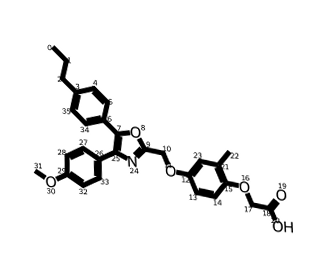 CCCc1ccc(-c2oc(COc3ccc(OCC(=O)O)c(C)c3)nc2-c2ccc(OC)cc2)cc1